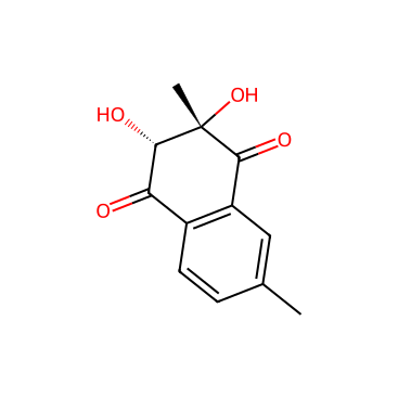 Cc1ccc2c(c1)C(=O)[C@@](C)(O)[C@@H](O)C2=O